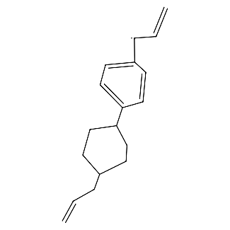 C=C[CH]c1ccc(C2CCC(CC=C)CC2)cc1